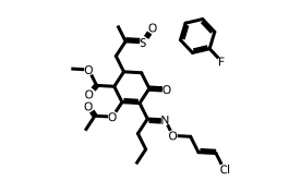 CCCC(=NOCC=CCl)C1=C(OC(C)=O)C(C(=O)OC)C(CC(C)=S=O)CC1=O.Fc1ccccc1